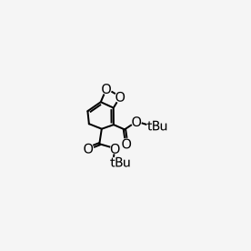 CC(C)(C)OC(=O)C1=c2ooc2=CCC1C(=O)OC(C)(C)C